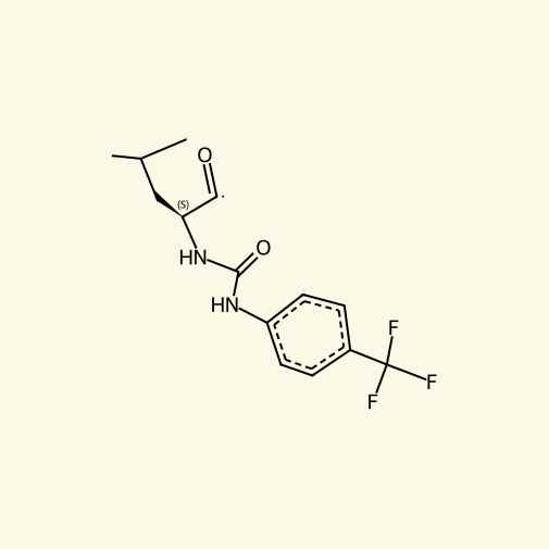 CC(C)C[C@@H]([C]=O)NC(=O)Nc1ccc(C(F)(F)F)cc1